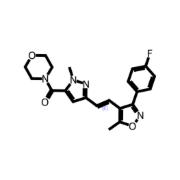 Cc1onc(-c2ccc(F)cc2)c1/C=C/c1cc(C(=O)N2CCOCC2)n(C)n1